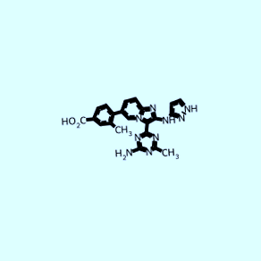 Cc1nc(N)nc(-c2c(Nc3cc[nH]n3)nc3ccc(-c4ccc(C(=O)O)cc4C)cn23)n1